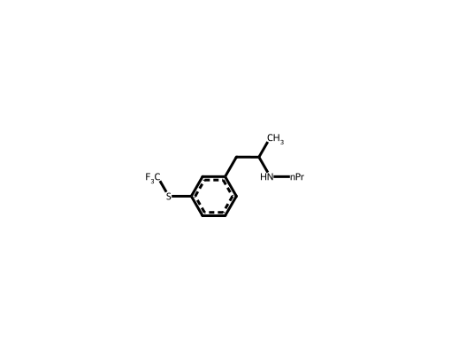 CCCNC(C)Cc1cccc(SC(F)(F)F)c1